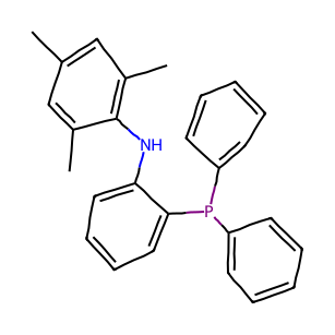 Cc1cc(C)c(Nc2ccccc2P(c2ccccc2)c2ccccc2)c(C)c1